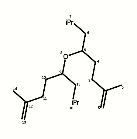 C=C(C)CCC(CC(C)C)OC(CCC(=C)C)CC(C)C